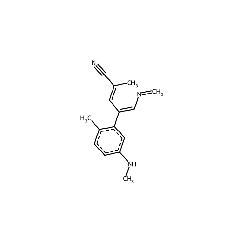 C=N/C=C(\C=C(/C)C#N)c1cc(NC)ccc1C